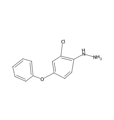 NNc1ccc(Oc2ccccc2)cc1Cl